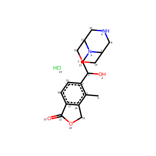 Cc1c(C(O)CN2C3CNCC2COC3)ccc2c1COC2=O.Cl